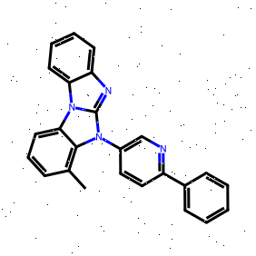 Cc1cccc2c1n(-c1ccc(-c3ccccc3)nc1)c1nc3ccccc3n21